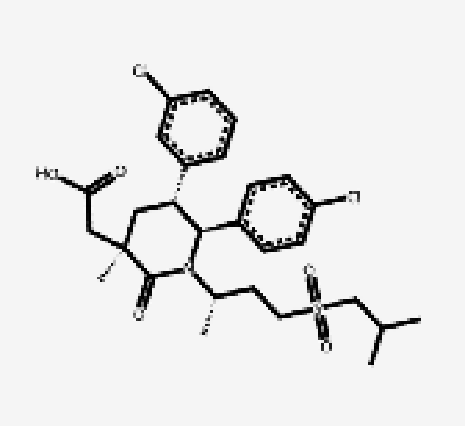 CC(C)CS(=O)(=O)CC[C@H](C)N1C(=O)[C@@](C)(CC(=O)O)C[C@H](c2cccc(Cl)c2)[C@H]1c1ccc(Cl)cc1